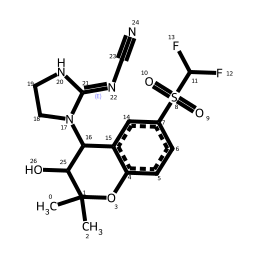 CC1(C)Oc2ccc(S(=O)(=O)C(F)F)cc2C(N2CCN/C2=N\C#N)C1O